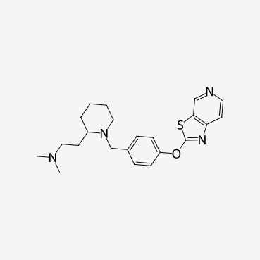 CN(C)CCC1CCCCN1Cc1ccc(Oc2nc3ccncc3s2)cc1